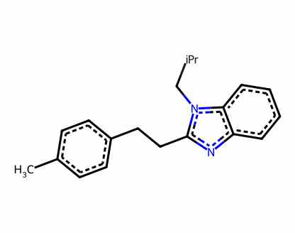 Cc1ccc(CCc2nc3ccccc3n2CC(C)C)cc1